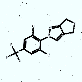 FC(F)(F)c1cc(Cl)c(-n2cc3c(n2)CSC3)c(Cl)c1